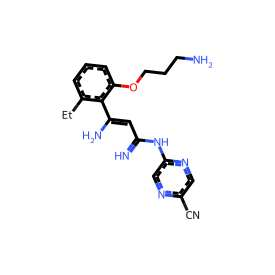 CCc1cccc(OCCCN)c1/C(N)=C/C(=N)Nc1cnc(C#N)cn1